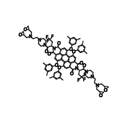 Cc1cc(C)cc(Oc2cc3c4c(cc(Oc5cc(C)cc(C)c5)c5c6c(Oc7cc(C)cc(C)c7)cc7c8c(cc(Oc9cc(C)cc(C)c9)c(c2c45)c86)C(=O)N(C(CC(F)(F)F)C(=O)N2CCN(CCN(CC4CO4)CC4CO4)CC2)C7=O)C(=O)N(C(CC(F)(F)F)C(=O)N2CCN(CCN(CC4CO4)CC4CO4)CC2)C3=O)c1